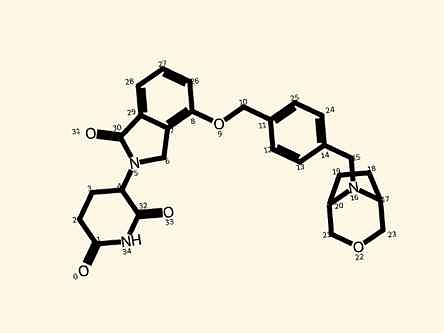 O=C1CCC(N2Cc3c(OCc4ccc(CN5C6CCC5COC6)cc4)cccc3C2=O)C(=O)N1